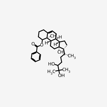 C[C@H](CCC(O)C(C)(C)O)[C@H]1CC[C@H]2[C@@H]3CC=C4CCCC(OC(=O)c5ccccc5)[C@]4(C)[C@H]3CC[C@]12C